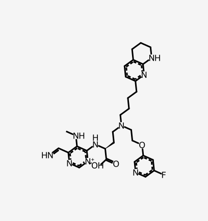 CNc1c(C=N)nc[n+](O)c1N[C@@H](CCN(CCCCc1ccc2c(n1)NCCC2)CCOc1cncc(F)c1)C(C)=O